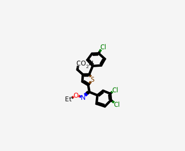 CCON=C(c1ccc(Cl)c(Cl)c1)c1cc(CC(=O)O)c(-c2ccc(Cl)cc2)s1